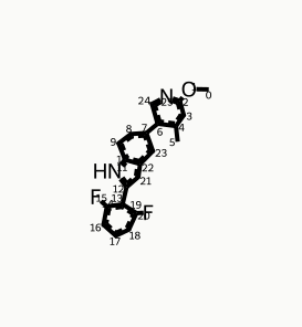 COc1cc(C)c(-c2ccc3[nH]c(-c4c(F)cccc4F)cc3c2)cn1